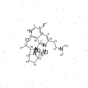 CC1Oc2ncc(F)c3cc(CCN(C)C)nc(c23)N2C(Cl)C3CCC(C12)N3C(=O)O